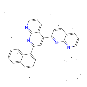 c1cnc2nc(-c3cc(-c4cccc5ccccc45)nc4ncccc34)ccc2c1